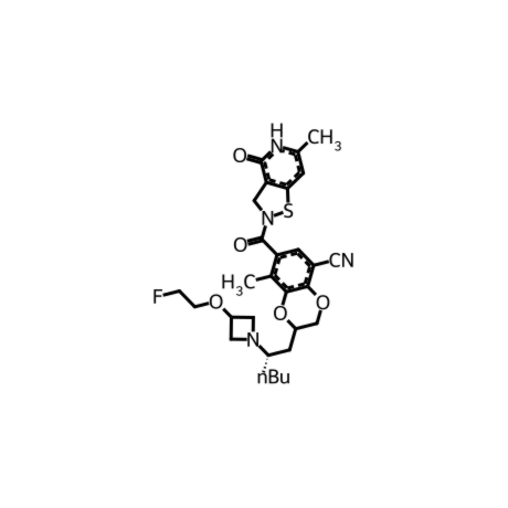 CCCC[C@@H](CC1COc2c(C#N)cc(C(=O)N3Cc4c(cc(C)[nH]c4=O)S3)c(C)c2O1)N1CC(OCCF)C1